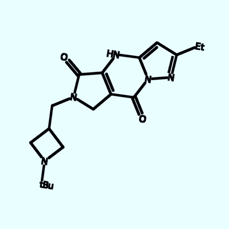 CCc1cc2[nH]c3c(c(=O)n2n1)CN(CC1CN(C(C)(C)C)C1)C3=O